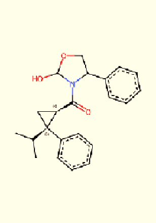 CC(C)[C@@]1(c2ccccc2)C[C@H]1C(=O)N1C(O)OCC1c1ccccc1